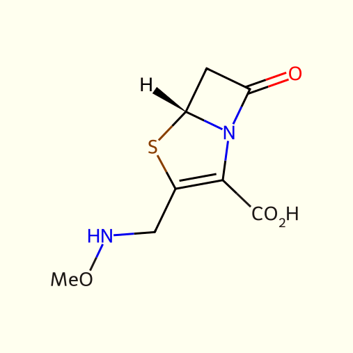 CONCC1=C(C(=O)O)N2C(=O)C[C@H]2S1